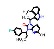 Cc1cccc2[nH]cc(C(C)n3c(=O)n(C(CC(=O)O)c4ccc(F)cc4)c4nc(C#N)ccc43)c12